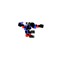 CN1CCCC1COc1nc2c(c(N3CCN(C(=O)OC(C)(C)C)C(CC#N)C3)n1)CCN(c1c(C(F)(F)F)ccc3c1cnn3COCC[Si](C)(C)C)C2